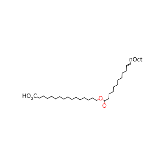 CCCCCCCCC=CCCCCCCCCCC(=O)OCCCCCCCCCCCCCCCC(=O)O